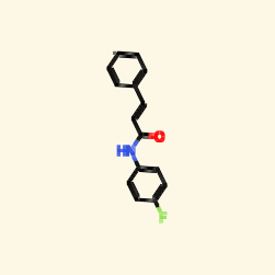 O=C(C=Cc1cc[c]cc1)Nc1ccc(F)cc1